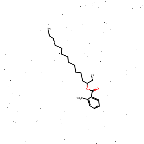 CC(C)CCCCCCCCCCCC(CC(C)C)OC(=O)c1ccccc1C(=O)O